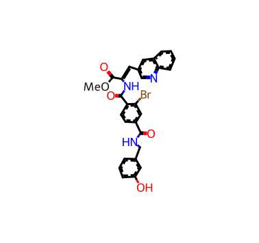 COC(=O)/C(=C/c1cnc2ccccc2c1)NC(=O)c1ccc(C(=O)NCc2cccc(O)c2)cc1Br